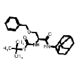 CC(C)(C)OC(=O)NC(COCc1ccccc1)C(=O)NC1C2CC3CC(C2)CC1C3